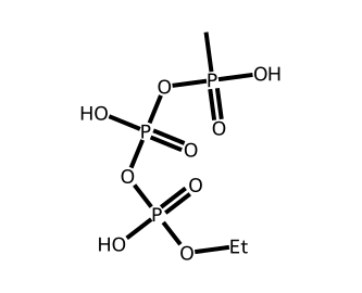 CCOP(=O)(O)OP(=O)(O)OP(C)(=O)O